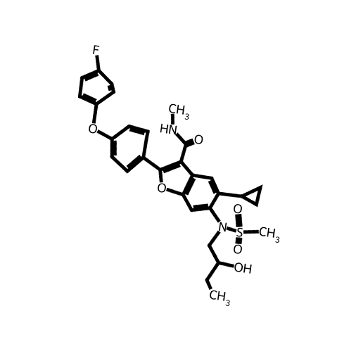 CCC(O)CN(c1cc2oc(-c3ccc(Oc4ccc(F)cc4)cc3)c(C(=O)NC)c2cc1C1CC1)S(C)(=O)=O